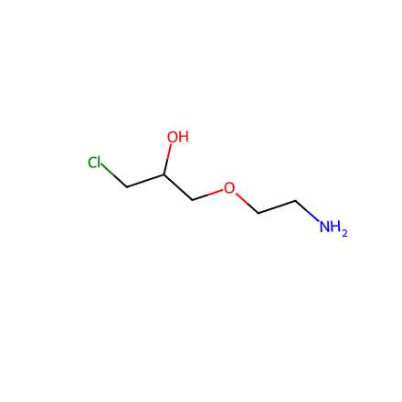 NCCOCC(O)CCl